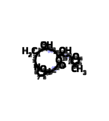 C=C1CCC[C@@H]2CC=C[C@@H](C/C=C\C(=O)O[C@H]([C@@H](O)/C=C/[C@@H]3CC(C)=CCO3)C/C=C\[C@@H](O)C1)O2